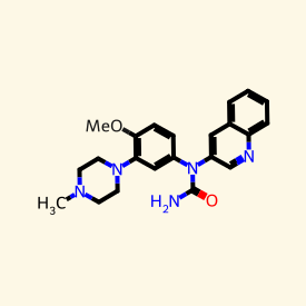 COc1ccc(N(C(N)=O)c2cnc3ccccc3c2)cc1N1CCN(C)CC1